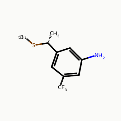 C[C@@H](SC(C)(C)C)c1cc(N)cc(C(F)(F)F)c1